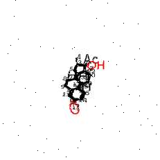 CC(=O)[C@@]1(O)[C@H](C)C[C@H]2[C@@H]3CCC4=CC(=O)C=C[C@]4(C)[C@H]3CC[C@@]21C